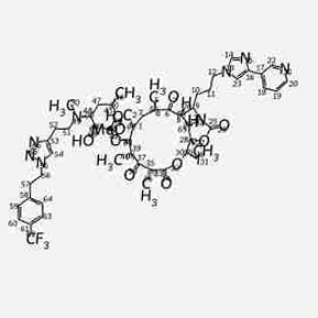 CO[C@]1(C)C[C@@H](C)C(=O)[C@@H]2C(CCCn3cnc(-c4cccnc4)c3)N3C(=O)O[C@](C)([C@@H](I)OC(=O)[C@H](C)C(=O)[C@H](C)[C@H]1O[C@@H]1O[C@H](C)C[C@H](N(C)CCc4cn(CCc5ccc(C(F)(F)F)cc5)nn4)[C@H]1O)[C@@H]23